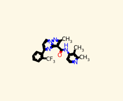 Cc1nccc(NC(=O)c2c(C)nn3ccc(-c4ccccc4C(F)(F)F)nc23)c1C